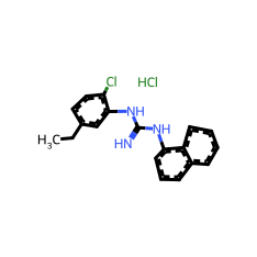 CCc1ccc(Cl)c(NC(=N)Nc2cccc3ccccc23)c1.Cl